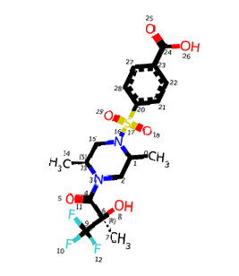 CC1CN(C(=O)[C@@](C)(O)C(F)(F)F)[C@@H](C)CN1S(=O)(=O)c1ccc(C(=O)O)cc1